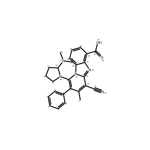 Cc1c(-c2ccccc2)c(N2CCCC2N(C)C)n2c(nc3c(C(=O)O)cccc32)c1C#N